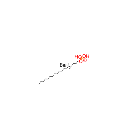 CCCCCCCCCCCCCCCCCCOP(=O)(O)O.[BaH2]